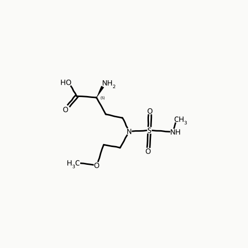 CNS(=O)(=O)N(CCOC)CC[C@H](N)C(=O)O